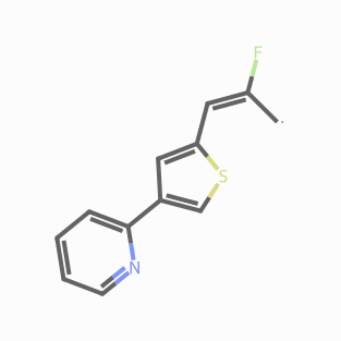 [CH2]/C(F)=C\c1cc(-c2ccccn2)cs1